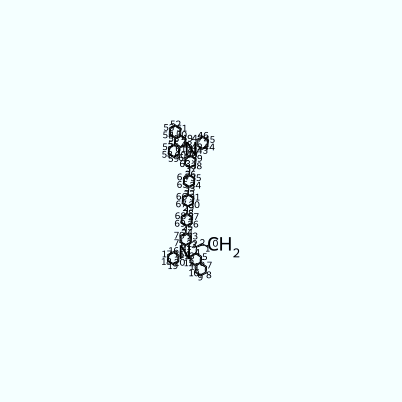 C=C/C=C\c1cc2ccccc2cc1N(c1ccccc1)c1ccc(-c2ccc(-c3ccc(-c4ccc(-c5ccc(N(c6ccccc6)c6cc7ccccc7c7ccccc67)cc5)cc4)cc3)cc2)cc1